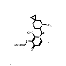 COCOc1c(C=O)n(NC2COC3(CC3)CN2C)ccc1=O